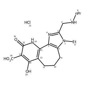 CCCNCc1nc2c(n1CC)CCCc1c-2[nH]c(=O)c(C(=O)O)c1O.Cl